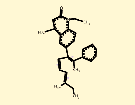 CC/C(C)=C/C=C\C(=C(/C)c1ccccc1)c1ccc2c(c1)c(C)cc(=O)n2CC